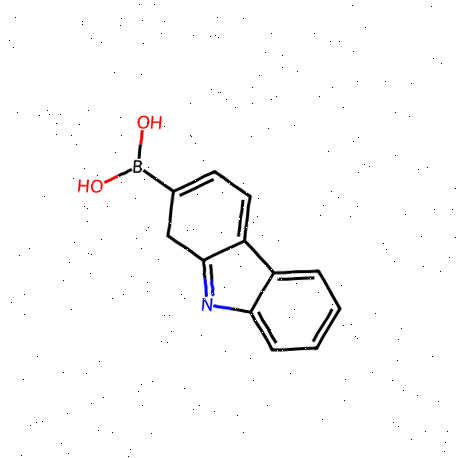 OB(O)C1=CC=C2C(=Nc3ccccc32)C1